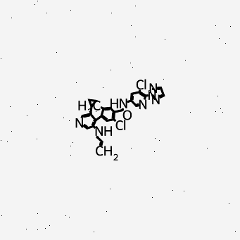 C=CCNc1cncc(C2CC2)c1-c1cc(Cl)c(C(=O)Nc2cnc(-n3nccn3)c(Cl)c2)cc1C